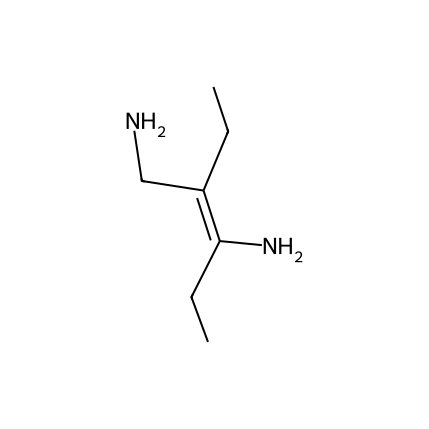 CCC(N)=C(CC)CN